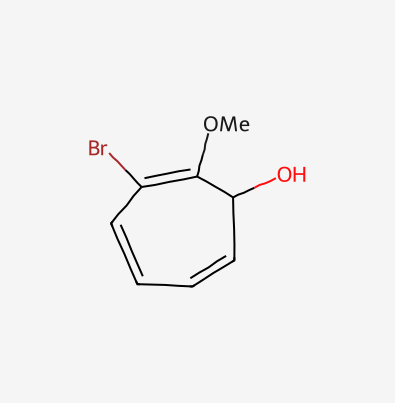 COC1=C(Br)C=CC=CC1O